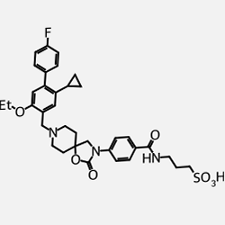 CCOc1cc(-c2ccc(F)cc2)c(C2CC2)cc1CN1CCC2(CC1)CN(c1ccc(C(=O)NCCCS(=O)(=O)O)cc1)C(=O)O2